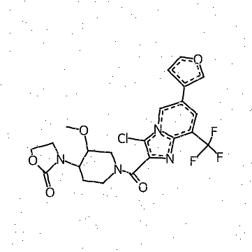 COC1CN(C(=O)c2nc3c(C(F)(F)F)cc(-c4ccoc4)cn3c2Cl)CCC1N1CCOC1=O